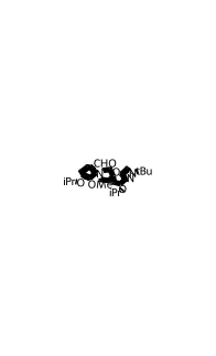 COc1c(OC(C)C)ccc(C=O)c1N1CCC2(CC1)CC(OC(C)C)c1nn(C(C)(C)C)cc1O2